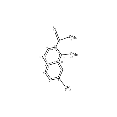 COC(=O)c1cnc2ccc(C)cc2c1OC